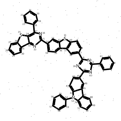 c1ccc(-c2nc(-c3ccc4sc5cc(-c6nc(-c7ccccc7)c7sc8ccccc8c7n6)ccc5c4c3)nc(-c3ccc4c(c3)c3ccccc3n4-c3ccccc3)n2)cc1